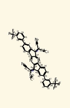 [C-]#[N+]/C(C#N)=C1/c2cc(-c3cccc(C(F)(F)F)c3)ccc2-c2nc3c(nc21)-c1ccc(-c2cccc(C(F)(F)F)c2)cc1/C3=C(/C#N)[N+]#[C-]